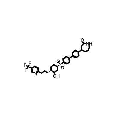 O=C1CC(c2ccc(-c3ccc(S(=O)(=O)C4CC[C@@H](CCCc5ccc(C(F)(F)F)cn5)[C@@H](O)C4)cc3)cc2)CCCN1